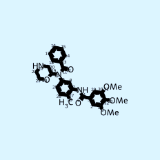 COc1cc(C(=O)Nc2cc(N(C(=O)c3ccccc3)C3CNCCO3)ccc2C)cc(OC)c1OC